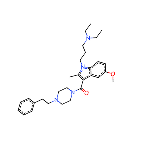 CCN(CC)CCCn1c(C)c(C(=O)N2CCN(CCc3ccccc3)CC2)c2cc(OC)ccc21